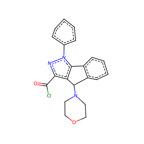 O=C(Cl)c1nn(-c2ccccc2)c2c1C(N1CCOCC1)c1ccccc1-2